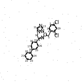 Clc1ccc(CON=C(Cn2cncn2)c2ccc(-c3ccccc3)cc2)c(Cl)c1